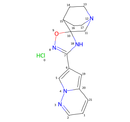 Cl.c1cnn2cc(C3=NOC4(CN5CCC4CC5)N3)cc2c1